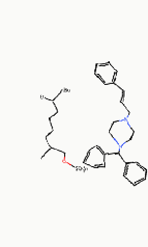 C(=Cc1ccccc1)CN1CCN(C(c2ccccc2)c2ccccc2)CC1.CCCCC(CC)CCCCC(C)COS(=O)(=O)O